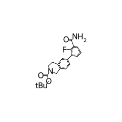 CC(C)(C)OC(=O)N1CCc2cc(-c3cccc(C(N)=O)c3F)ccc2C1